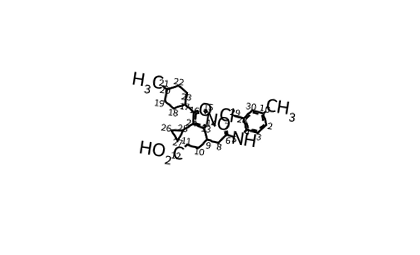 Cc1ccc(NC(=O)CC(CCC(=O)O)c2noc(C3CCC(C)CC3)c2C2CC2)c(Cl)c1